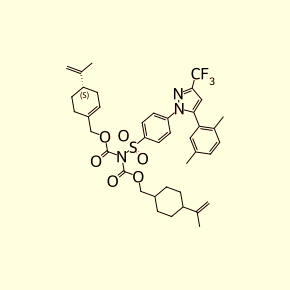 C=C(C)C1CCC(COC(=O)N(C(=O)OCC2=CC[C@@H](C(=C)C)CC2)S(=O)(=O)c2ccc(-n3nc(C(F)(F)F)cc3-c3cc(C)ccc3C)cc2)CC1